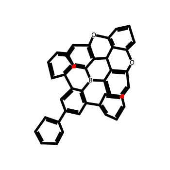 c1ccc(-c2cc(-c3ccccc3)c(B3c4cccc5c4C4c6c(cccc6Oc6cccc3c64)O5)c(-c3ccccc3)c2)cc1